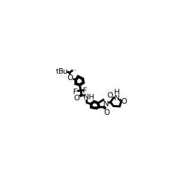 [CH2]C(Oc1cccc(C(F)(F)C(=O)NCc2ccc3c(c2)CN(C2CCC(=O)NC2=O)C3=O)c1)C(C)(C)C